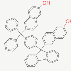 Oc1ccc2cc(C3(c4ccc(C5(c6ccc7cc(O)ccc7c6)c6ccccc6-c6ccccc65)cc4)c4ccccc4-c4ccccc43)ccc2c1